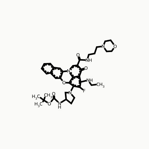 CCNc1c(F)c(N2CCC(NC(=O)OC(C)(C)C)C2)c2c3c1c(=O)c(C(=O)NCCCN1CCOCC1)cn3-c1cc3ccccc3cc1O2